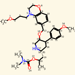 COCCCN1CCOc2ccc(COC3CN[C@@H](CC(C)OC(=O)N(C)C)CC3c3ccc(OC)cc3)cc21